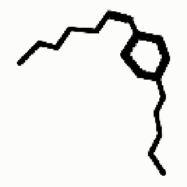 CCCCC/C=[C]\c1ccc(CCCCC)cc1